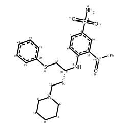 NS(=O)(=O)c1ccc(N[C@H](CCN2CCCCC2)CSc2ccccc2)c([N+](=O)[O-])c1